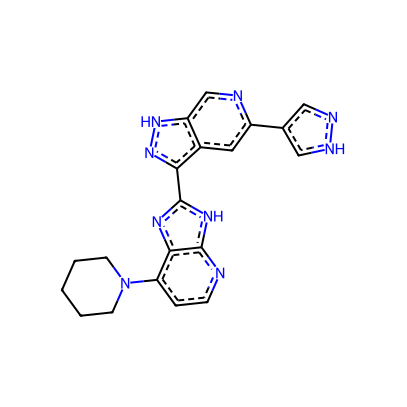 c1cc(N2CCCCC2)c2nc(-c3n[nH]c4cnc(-c5cn[nH]c5)cc34)[nH]c2n1